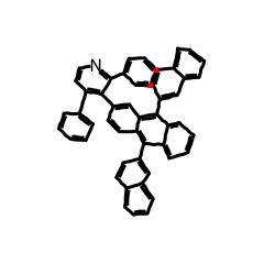 c1ccc(-c2ccnc(-c3ccccc3)c2-c2ccc3c(-c4ccc5ccccc5c4)c4ccccc4c(-c4ccc5ccccc5c4)c3c2)cc1